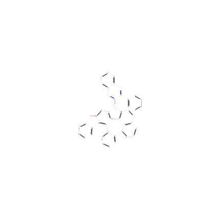 c1ccc(-c2nc3ccccc3nc2-n2c3cc4oc5ccccc5c4c4c3c3c5c(cccc5ccc32)-c2ccccc2-4)cc1